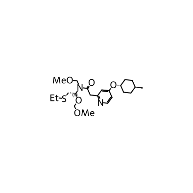 CCSC[C@@H](OCOC)N(COC)C(=O)Cc1cc(O[C@H]2CC[C@H](C)CC2)ccn1